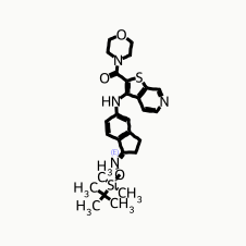 CC(C)(C)[Si](C)(C)O/N=C1\CCc2cc(Nc3c(C(=O)N4CCOCC4)sc4cnccc34)ccc21